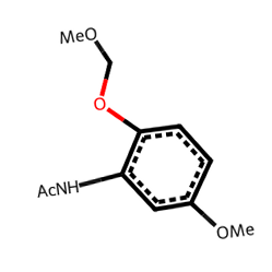 COCOc1ccc(OC)cc1NC(C)=O